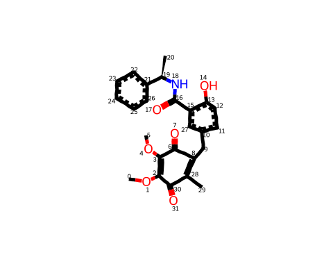 COC1=C(OC)C(=O)C(Cc2ccc(O)c(C(=O)N[C@H](C)c3ccccc3)c2)=C(C)C1=O